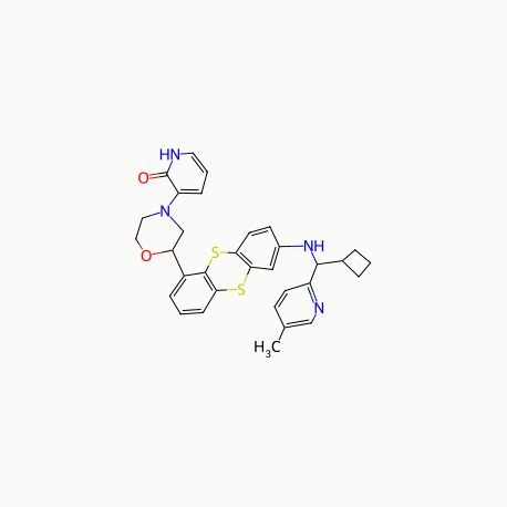 Cc1ccc(C(Nc2ccc3c(c2)Sc2cccc(C4CN(c5ccc[nH]c5=O)CCO4)c2S3)C2CCC2)nc1